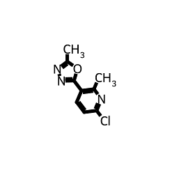 Cc1nnc(-c2ccc(Cl)nc2C)o1